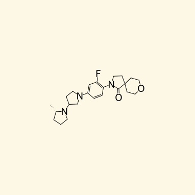 C[C@H]1CCCN1C1CCN(c2ccc(N3CCC4(CCOCC4)C3=O)c(F)c2)C1